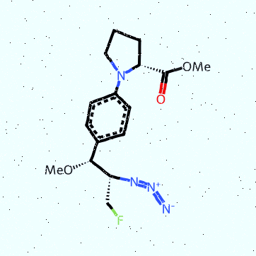 COC(=O)[C@H]1CCCN1c1ccc([C@@H](OC)[C@@H](CF)N=[N+]=[N-])cc1